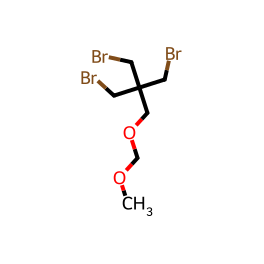 COCOCC(CBr)(CBr)CBr